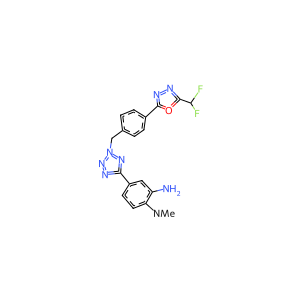 CNc1ccc(-c2nnn(Cc3ccc(-c4nnc(C(F)F)o4)cc3)n2)cc1N